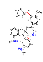 CCCNc1cccc(CC2(Cc3cccc(NCCC)c3)C[C@@H](c3ccc(OC)c(OC4CCCC4)c3)CNC2=O)c1